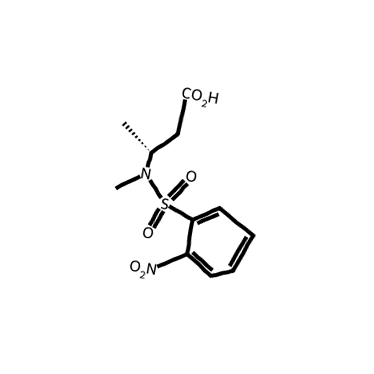 C[C@H](CC(=O)O)N(C)S(=O)(=O)c1ccccc1[N+](=O)[O-]